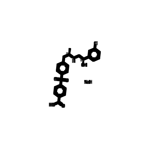 C[C@H](Cc1ccc(S(=O)(=O)c2ccc(C(=O)O)cc2)cc1)NC[C@@H](O)c1cccc(Cl)c1.[NaH]